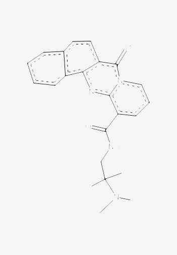 CN(C)C(C)(C)CNC(=O)c1cccn2c(=O)c3ccc4ccccc4c3nc12